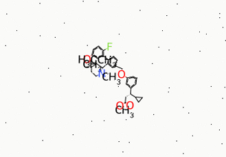 COC(=O)C[C@H](c1cccc(OCc2ccc(-c3cc(OC)ccc3F)c(C3N(C)CCCC3(C)C)c2)c1)C1CC1